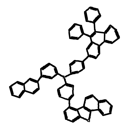 c1ccc(-c2c(-c3ccccc3)c3cc(-c4ccc(N(c5ccc(-c6cccc7oc8c9ccccc9ccc8c67)cc5)c5cccc(-c6ccc7ccccc7c6)c5)cc4)ccc3c3ccccc23)cc1